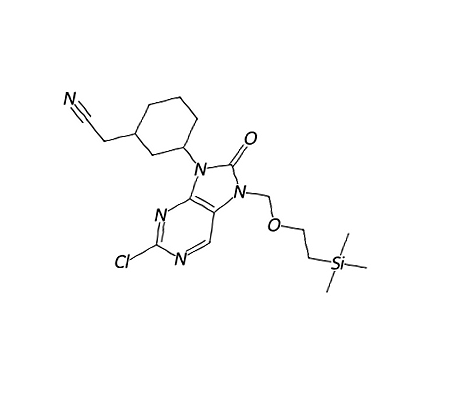 C[Si](C)(C)CCOCn1c(=O)n(C2CCCC(CC#N)C2)c2nc(Cl)ncc21